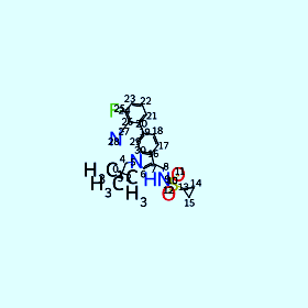 CC(C)(C)Cn1cc(CNS(=O)(=O)C2CC2)c2ccc(-c3cccc(F)c3C#N)cc21